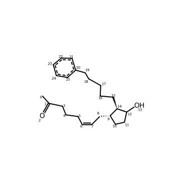 CC(=O)CCC/C=C\C[C@H]1CCC(O)[C@@H]1CCCCCc1ccccc1